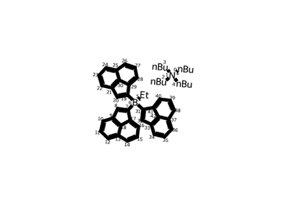 CCCC[N+](CCCC)(CCCC)CCCC.CC[B-](C1=Cc2cccc3cccc1c23)(C1=Cc2cccc3cccc1c23)C1=Cc2cccc3cccc1c23